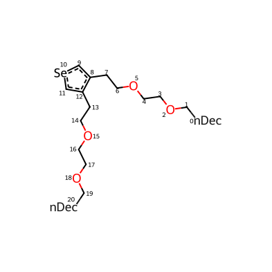 CCCCCCCCCCCOCCOCCc1c[se]cc1CCOCCOCCCCCCCCCCC